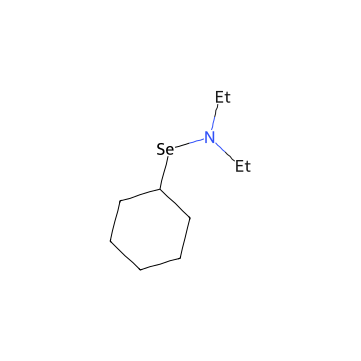 CCN(CC)[Se]C1CCCCC1